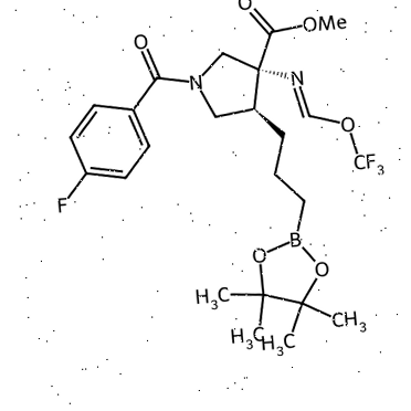 COC(=O)[C@]1(N=COC(F)(F)F)CN(C(=O)c2ccc(F)cc2)C[C@@H]1CCCB1OC(C)(C)C(C)(C)O1